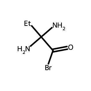 CCC(N)(N)C(=O)Br